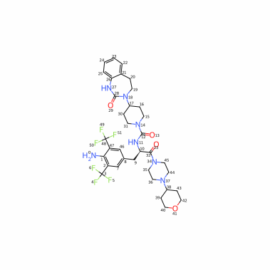 Nc1c(C(F)(F)F)cc(C[C@@H](NC(=O)N2CCC(N3CCc4ccccc4NC3=O)CC2)C(=O)N2CCN(C3CCOCC3)CC2)cc1C(F)(F)F